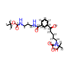 CC(C)(C)OC(=O)NCCCNC(=O)c1cccc(C(=O)CCCCN(C(=O)O)C(C)(C)C)c1